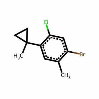 Cc1cc(C2(C)CC2)c(Cl)cc1Br